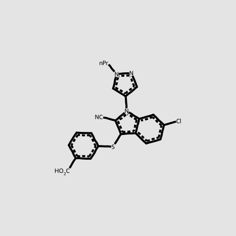 CCCn1cc(-n2c(C#N)c(Sc3cccc(C(=O)O)c3)c3ccc(Cl)cc32)cn1